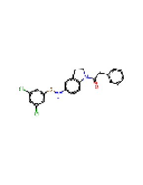 O=C(Cc1ccccc1)N1CCc2cc(NSc3cc(Cl)cc(Cl)c3)ccc21